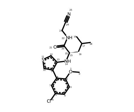 COc1ccc(Cl)cc1-c1cscc1N[C@@H](CC(C)C)C(=O)NCC#N